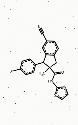 CC1(C(=O)Nc2nccs2)Cc2ccc(C#N)cc2C1c1ccc(Br)cc1